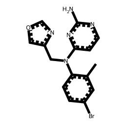 Cc1cc(Br)ccc1N(Cc1cocn1)c1ccnc(N)n1